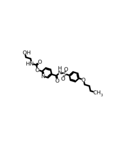 CCCCOc1ccc(S(=O)(=O)NC(=O)c2ccc(OC(=O)NCCO)nc2)cc1